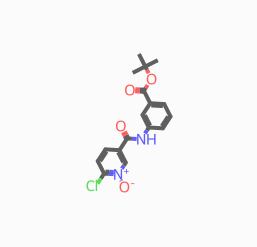 CC(C)(C)OC(=O)c1cccc(NC(=O)c2ccc(Cl)[n+]([O-])c2)c1